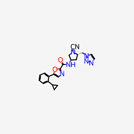 N#CN1C[C@H](NC(=O)c2ncc(-c3ccccc3C3CC3)o2)C[C@H]1Cn1ccnn1